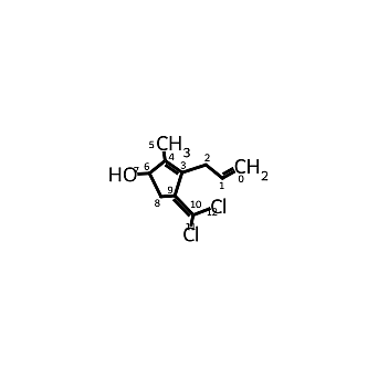 C=CCC1=C(C)C(O)CC1=C(Cl)Cl